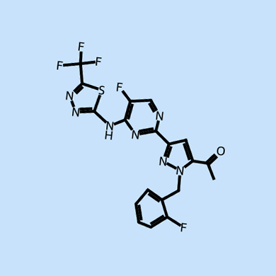 CC(=O)c1cc(-c2ncc(F)c(Nc3nnc(C(F)(F)F)s3)n2)nn1Cc1ccccc1F